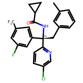 Cc1cccc(C[C@](NC(=O)C2CC2)(c2cc(F)cc(C(F)(F)F)c2)c2ccc(Cl)cn2)c1